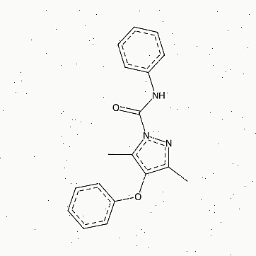 Cc1nn(C(=O)Nc2ccccc2)c(C)c1Oc1ccccc1